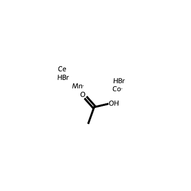 Br.Br.CC(=O)O.[Ce].[Co].[Mn]